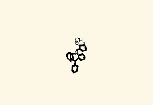 COc1ccccc1C[N]C1C2CCN(CC2)C1C(c1ccccc1)c1ccccc1